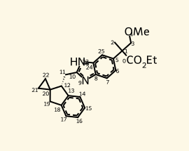 CCOC(=O)C(C)(COC)c1ccc2nc(C[C@@H]3c4ccccc4CC34CC4)[nH]c2c1